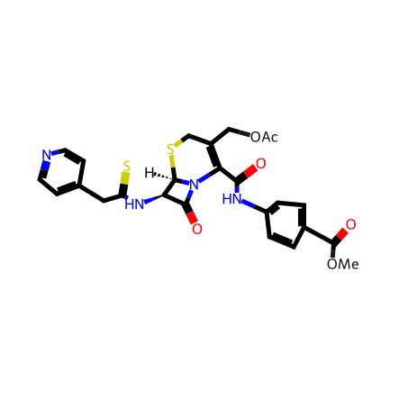 COC(=O)c1ccc(NC(=O)C2=C(COC(C)=O)CS[C@@H]3[C@H](NC(=S)Cc4ccncc4)C(=O)N23)cc1